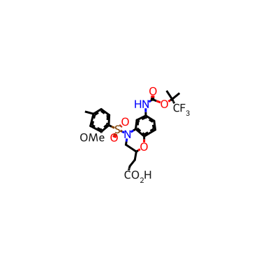 COc1cc(C)ccc1S(=O)(=O)N1CC(CCC(=O)O)Oc2ccc(NC(=O)OC(C)(C)C(F)(F)F)cc21